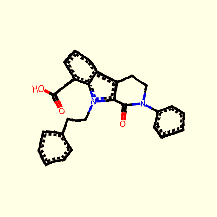 O=C(O)c1cccc2c3c(n(CCc4ccccc4)c12)C(=O)N(c1ccccc1)CC3